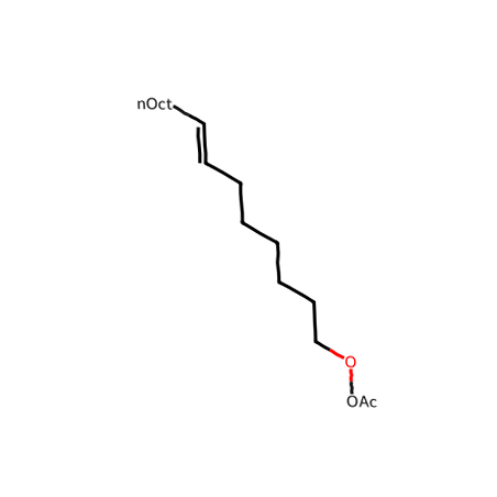 CCCCCCCC/C=C/CCCCCCOOC(C)=O